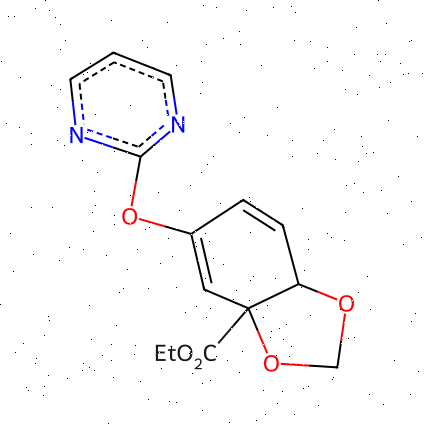 CCOC(=O)C12C=C(Oc3ncccn3)C=CC1OCO2